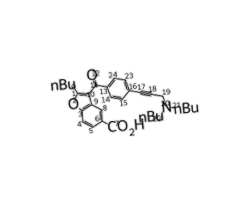 CCCCc1oc2ccc(C(=O)O)cc2c1C(=O)c1ccc(C#CCN(CCCC)CCCC)cc1